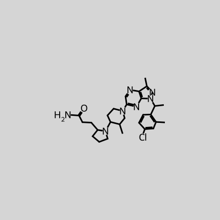 Cc1cc(Cl)ccc1C(C)n1nc(C)c2ncc(N3CCC(N4CCCC4CCC(N)=O)C(C)C3)nc21